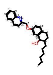 CCCCCCC1CCc2ccc(OCc3ccc4ccccc4n3)cc2C1O